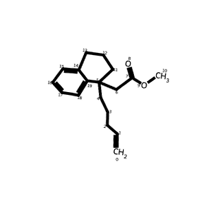 C=CCCCC1(CC(=O)OC)CCCc2ccccc21